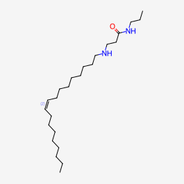 CCCCCCCC/C=C\CCCCCCCCNCCC(=O)NCCC